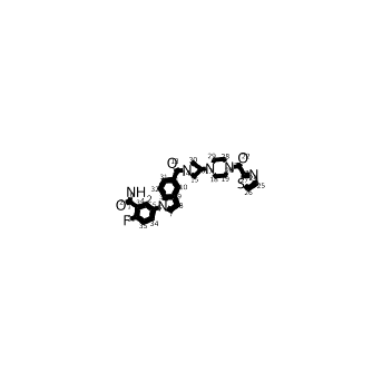 NC(=O)c1cc(-n2ccc3cc(C(=O)N4CC(N5CCN(C(=O)c6nccs6)CC5)C4)ccc32)ccc1F